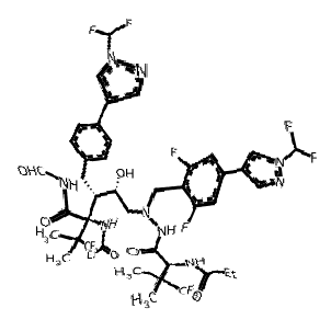 CCC(=O)N[C@H](C(=O)NN(Cc1c(F)cc(-c2cnn(C(F)F)c2)cc1F)C[C@@H](O)[C@@H](Cc1ccc(-c2cnn(C(F)F)c2)cc1)[C@@](NC(=O)CC)(C(=O)NC=O)C(C)(C)C(F)(F)F)C(C)(C)C(F)(F)F